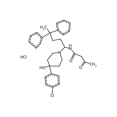 CC(=O)CC(=O)NC(CCC(C)(c1ccccc1)c1ccccc1)N1CCC(O)(c2ccc(Cl)cc2)CC1.Cl